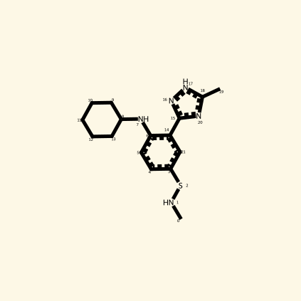 CNSc1ccc(NC2CCCCC2)c(-c2n[nH]c(C)n2)c1